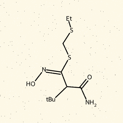 CCSCSC(=NO)C(C(N)=O)C(C)(C)C